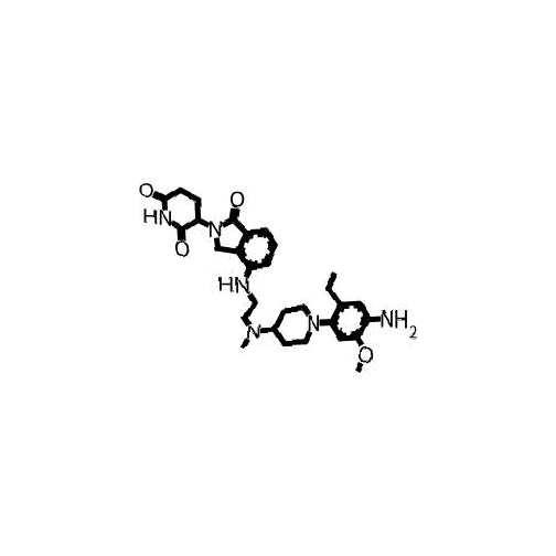 CCc1cc(N)c(OC)cc1N1CCC(N(C)CCNc2cccc3c2CN(C2CCC(=O)NC2=O)C3=O)CC1